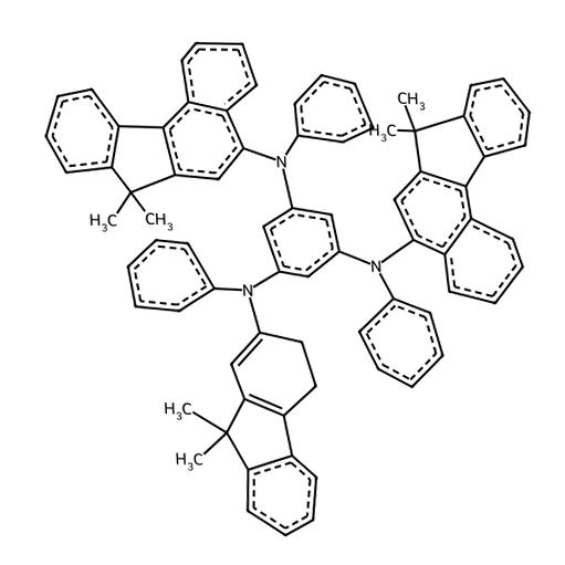 CC1(C)C2=C(CCC(N(c3ccccc3)c3cc(N(c4ccccc4)c4cc5c(c6ccccc46)-c4ccccc4C5(C)C)cc(N(c4ccccc4)c4cc5c(c6ccccc46)-c4ccccc4C5(C)C)c3)=C2)c2ccccc21